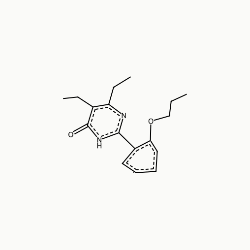 CCCOc1cc[c]cc1-c1nc(CC)c(CC)c(=O)[nH]1